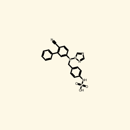 N#Cc1ccc(N(Cc2ccc(NS(=O)(=O)O)cc2)n2cncn2)cc1-c1ccccc1